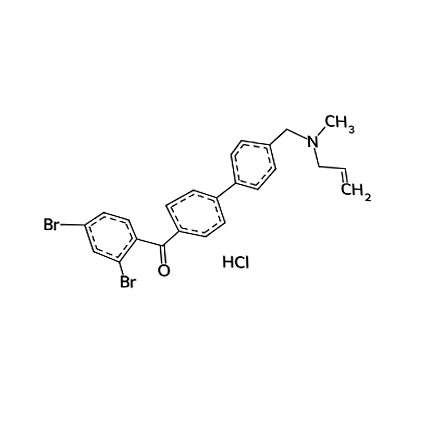 C=CCN(C)Cc1ccc(-c2ccc(C(=O)c3ccc(Br)cc3Br)cc2)cc1.Cl